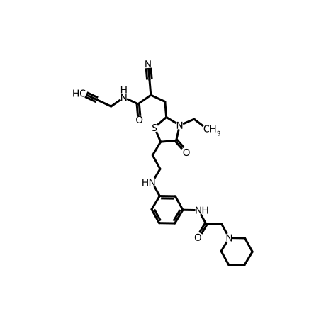 C#CCNC(=O)C(C#N)CC1SC(CCNc2cccc(NC(=O)CN3CCCCC3)c2)C(=O)N1CC